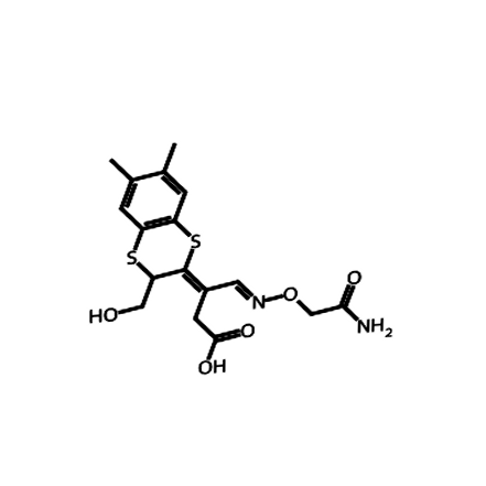 Cc1cc2c(cc1C)SC(CO)/C(=C(/C=N/OCC(N)=O)CC(=O)O)S2